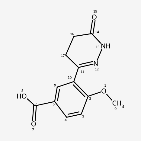 COc1ccc(C(=O)O)cc1C1=NNC(=O)CC1